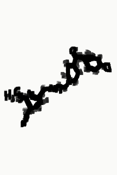 CSc1nc(CNCCN2CCC(C(=O)c3ccc(Cl)cc3)CC2)ccc1C#N